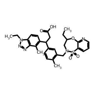 CCC1CN(Cc2cc(C(CC(=O)O)c3ccc4c(nnn4CC)c3C)ccc2C)S(=O)(=O)c2cccnc2O1